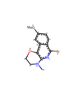 COc1ccc2c(Br)nc3c(c2c1)OCCN3C